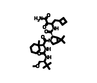 COC[C@@H](NC(=O)N[C@H](C(=O)N1CC2C([C@H]1C(=O)NC(CC1CCC1)C(=O)C(N)=O)C2(C)C)C1(C)CCCCC1)C(C)(C)C